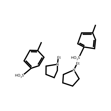 CCN1CCCC1.CCN1CCCC1.Cc1ccc(S(=O)(=O)O)cc1.Cc1ccc(S(=O)(=O)O)cc1